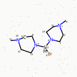 CN1CCN([SiH](Br)N2CCN(C)CC2)CC1